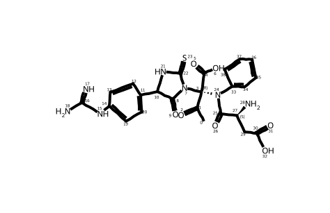 CC(=O)[C@](C(=O)O)(N1C(=O)C(c2ccc(NC(=N)N)cc2)NC1=S)N(C(=O)[C@@H](N)CC(=O)O)c1ccccc1